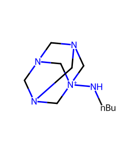 CCCCN[N+]12CN3CN(CN(C3)C1)C2